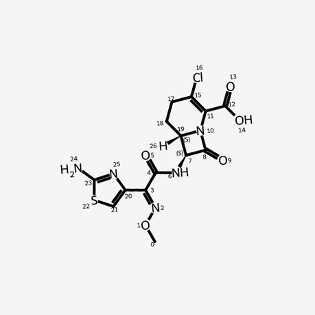 CON=C(C(=O)N[C@@H]1C(=O)N2C(C(=O)O)=C(Cl)CC[C@@H]12)c1csc(N)n1